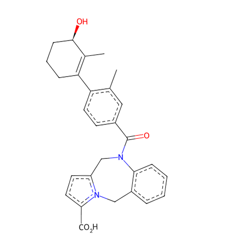 CC1=C(c2ccc(C(=O)N3Cc4ccc(C(=O)O)n4Cc4ccccc43)cc2C)CCC[C@H]1O